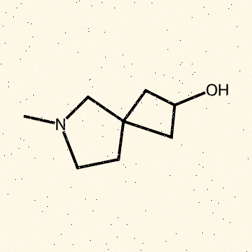 CN1CCC2(CC(O)C2)C1